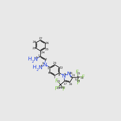 N/C(=C\N(N)c1ccc(-n2nc(C(F)(F)F)cc2C(F)(F)F)cc1)c1ccccc1